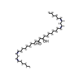 CCCCC/C=C\C/C=C\CCCCCCCCC(O)CC(O)CCCCCCC/C=C\C/C=C\CCCCC